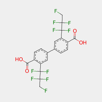 O=C(O)c1ccc(-c2ccc(C(=O)O)c(C(F)(F)C(F)(F)CF)c2)cc1C(F)(F)C(F)(F)CF